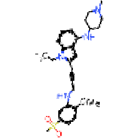 COc1ccc(S(C)(=O)=O)cc1NCC#Cc1cc2c(NC3CCN(C)CC3)cccc2n1CC(F)(F)F